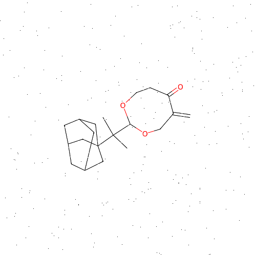 C=C1COC(C(C)(C)C23CC4CC(CC(C4)C2)C3)OCCC1=O